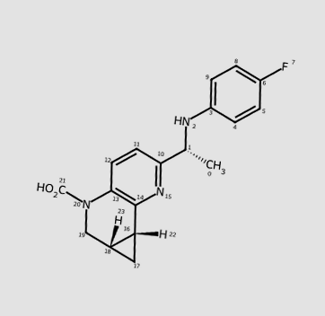 C[C@@H](Nc1ccc(F)cc1)c1ccc2c(n1)[C@@H]1C[C@@H]1CN2C(=O)O